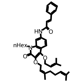 CCCCCCn1c(=O)c(OCC=C(C)CCC=C(C)C)c(OCC=C(C)C)c2ccc(NC(=O)C=Cc3ccccc3)cc21